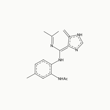 C=c1[nH]cn/c1=C(/N=C(C)C)Nc1ccc(C)cc1NC(C)=O